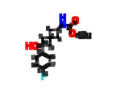 CC(C)(C)OC(=O)NC1CC2(C1)CC(O)(c1ccc(F)cc1)C2